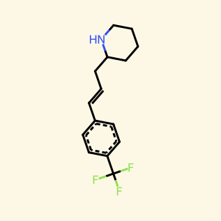 FC(F)(F)c1ccc(C=CCC2CCCCN2)cc1